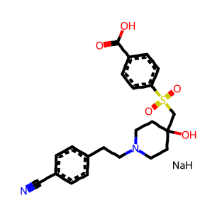 N#Cc1ccc(CCN2CCC(O)(CS(=O)(=O)c3ccc(C(=O)O)cc3)CC2)cc1.[NaH]